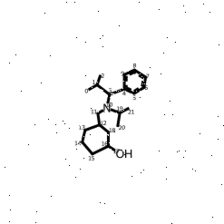 CC(C)C(c1ccccc1)N(CC1CCCC(O)C1)C(C)C